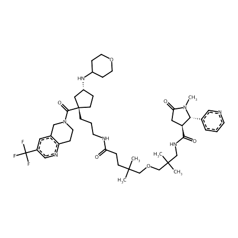 CN1C(=O)C[C@H](C(=O)NCC(C)(C)COCC(C)(C)CCC(=O)NCCC[C@]2(C(=O)N3CCc4ncc(C(F)(F)F)cc4C3)CC[C@@H](NC3CCOCC3)C2)[C@H]1c1cccnc1